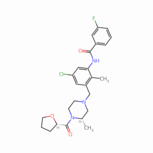 Cc1c(CN2CCN(C(=O)[C@@H]3CCCO3)[C@@H](C)C2)cc(Cl)cc1NC(=O)c1cccc(F)c1